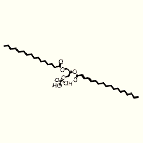 CCCCCCCCCCCCCC=CC=CC(=O)O[C@H](COC(=O)CCCCCCCCCCCCCCC)COP(=O)(O)O